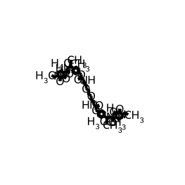 CCN1CCN(C(=O)NC(c2ccc(OC(=O)NCCOCCOCCNC(=O)Oc3ccc(C(NC(=O)N4CCN(CC)C(=O)C4=O)C(C)(C)C)cc3)cc2)C(C)(C)C)C(=O)C1=O